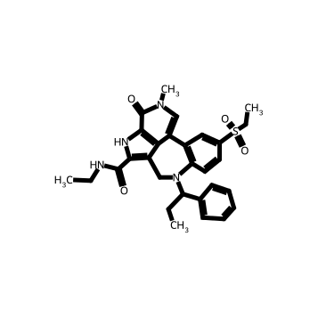 CCNC(=O)c1[nH]c2c(=O)n(C)cc3c2c1CN(C(CC)c1ccccc1)c1ccc(S(=O)(=O)CC)cc1-3